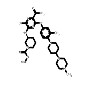 CCc1nc(C(N)=O)c(Nc2ccc(N3CCC(N4CCN(C)CC4)CC3)c(C)c2)nc1N[C@H]1CCCN(C(=O)OC(C)(C)C)C1